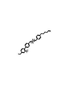 C=CCCCCc1ccc(C=NN=Cc2ccc(-c3ccc(CC)cc3F)cc2)cc1